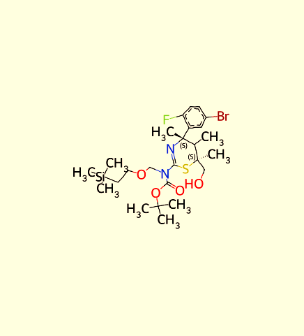 CC1[C@@](C)(CO)SC(N(COCC[Si](C)(C)C)C(=O)OC(C)(C)C)=N[C@]1(C)c1cc(Br)ccc1F